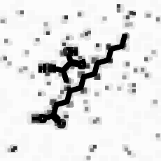 CC(N)C(=O)O.CCCCCCCCCCCC(=O)O